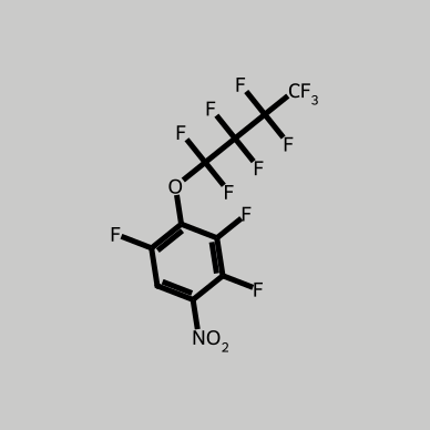 O=[N+]([O-])c1cc(F)c(OC(F)(F)C(F)(F)C(F)(F)C(F)(F)F)c(F)c1F